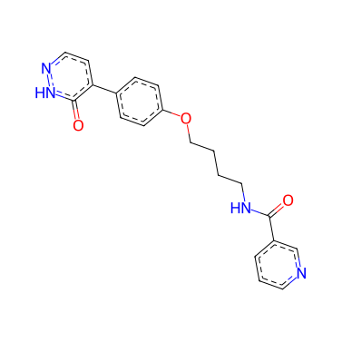 O=C(NCCCCOc1ccc(-c2ccn[nH]c2=O)cc1)c1cccnc1